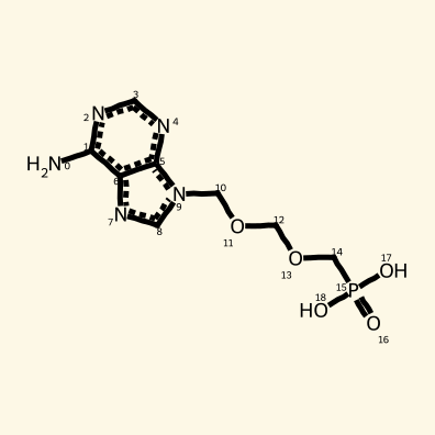 Nc1ncnc2c1ncn2COCOCP(=O)(O)O